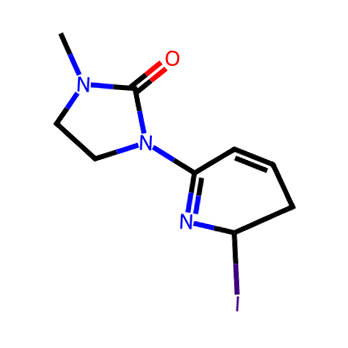 CN1CCN(C2=NC(I)CC=C2)C1=O